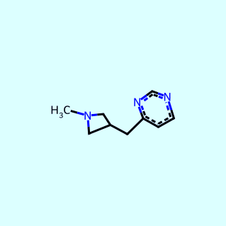 CN1CC(Cc2ccncn2)C1